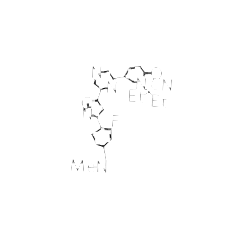 CCC(C#N)(CC)n1cc(-c2cncc(-c3cc(-c4ccc(CNC)cc4F)no3)n2)ccc1=O